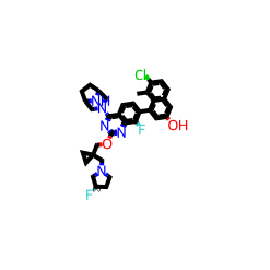 Cc1c(Cl)ccc2cc(O)cc(-c3ccc4c(N5CC6CCC(C5)N6)nc(OCC5(CN6CC[C@@H](F)C6)CC5)nc4c3F)c12